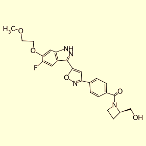 COCCOc1cc2[nH]nc(-c3cc(-c4ccc(C(=O)N5CC[C@@H]5CO)cc4)no3)c2cc1F